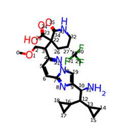 COCC(c1ccc2nc([C@@H](N)C(C3CC3)C3CC3)cn2n1)C1(C(=O)O)C[C@@H](C(F)(F)F)CNC1=O